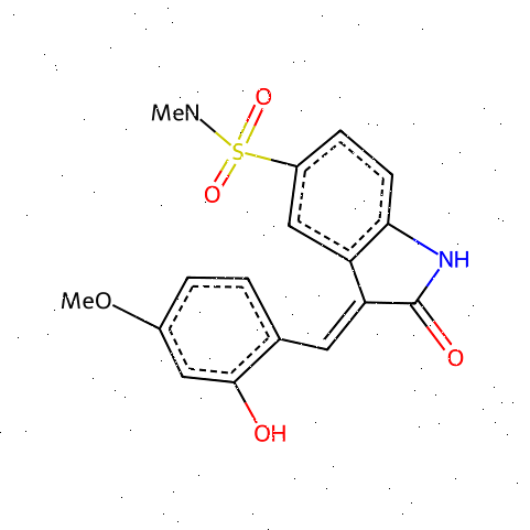 CNS(=O)(=O)c1ccc2c(c1)C(=Cc1ccc(OC)cc1O)C(=O)N2